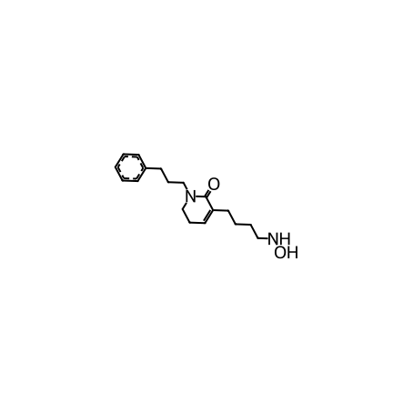 O=C1C(CCCCNO)=CCCN1CCCc1ccccc1